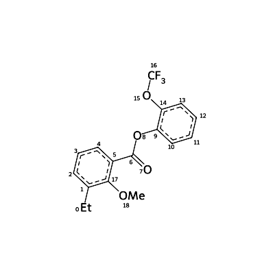 CCc1cccc(C(=O)Oc2ccccc2OC(F)(F)F)c1OC